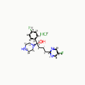 Cl.OC(CCCc1ncc(F)cn1)(c1ccc(F)cc1)N1CCNCC1